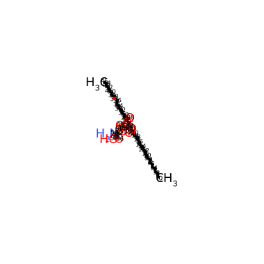 CCCCCCCCCC=CC=CC=CC=CC=CC=CC(=O)O[C@H](COC(=O)CCCCCCCCCCCCCCCCC)COP(=O)(O)OC[C@H](N)C(=O)O